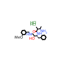 COc1cccc(CNC[C@@H](O)[C@H](Cc2ccccc2)NC(=O)C(C)C(C)N)c1.Cl.Cl